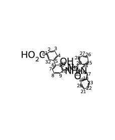 O=C(O)c1cccc(-c2cccc(NN=C3C(=O)N(Cc4ccccc4)c4ccccc43)c2O)c1